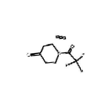 C=C.O=C1CCN(C(=O)C(F)(F)F)CC1